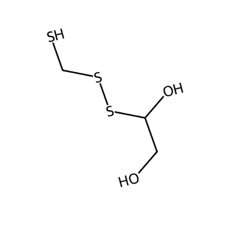 OCC(O)SSCS